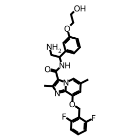 Cc1cc(OCc2c(F)cccc2F)c2nc(C)c(C(=O)NC(CN)c3cccc(OCCO)c3)n2c1